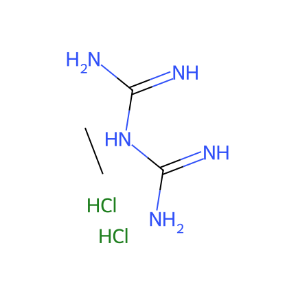 CC.Cl.Cl.N=C(N)NC(=N)N